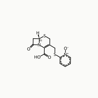 O=C(O)C1=C(CSc2cccc[n+]2[O-])CS[C@H]2CC(=O)N12